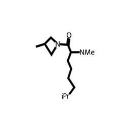 CNC(CCCCC(C)C)C(=O)N1CC(C)C1